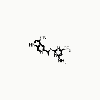 CC(Sc1nc(N)cc(C(F)(F)F)n1)c1cc2c(C#N)c[nH]c2cn1